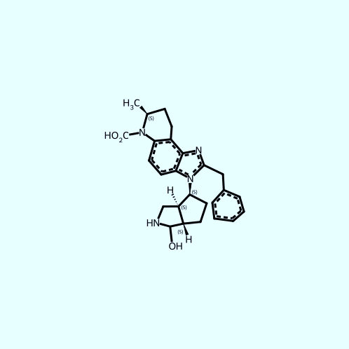 C[C@H]1CCc2c(ccc3c2nc(Cc2ccccc2)n3[C@H]2CC[C@@H]3C(O)NC[C@H]32)N1C(=O)O